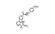 COc1ccc(C=NNC(=O)c2ccc3c(c2)[nH]c2c(C4(C(N)=O)CC4)nccc23)cc1